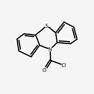 O=C(Cl)N1c2ccccc2Sc2ccccc21